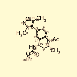 CC(=O)N1c2ccc(-c3c(C)noc3C)cc2[C@@H](NC(=O)OC(C)C)C[C@H]1C